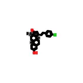 C[C@]12CC[C@@H]3c4ccc(O)cc4CC[C@H]3[C@@H]1[C@H](CCc1ccc(Cl)cc1)CC2=O